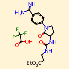 CCOC(=O)CCNC(=O)NC1CCN(c2ccc(C(=N)N)cc2)C1=O.O=C(O)C(F)(F)F